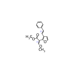 CO/C=C(/C(=O)OC)c1occc1/C=C/c1ccccc1